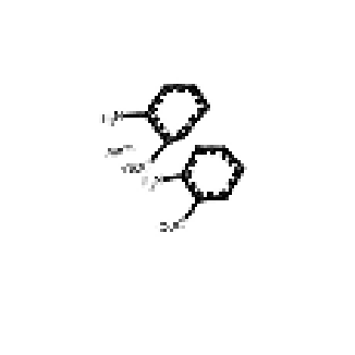 Nc1ccccc1C(=O)[O-].Nc1ccccc1C(=O)[O-].[Mn+2]